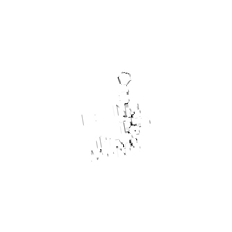 CN[C@@H](CC(C)C)C(=O)N1CC(=O)C(C(=O)[C@H](CC(C)C)NC(=O)OCc2ccccc2)C1.Cl